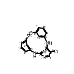 Clc1cnc2nc1Nc1cccc(c1)SSc1cccc(c1)N2